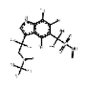 [2H]c1c(C([2H])([2H])S(=O)(=O)NC)c([2H])c2c(C([2H])([2H])CN(C)C([2H])([2H])[2H])c[nH]c2c1[2H]